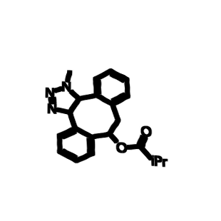 CC(C)C(=O)OC1Cc2ccccc2C2C(N=NN2C)c2ccccc21